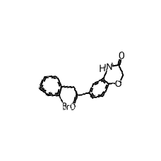 O=C1COc2ccc(C(=O)Cc3ccccc3Br)cc2N1